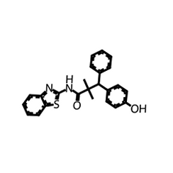 CC(C)(C(=O)Nc1nc2ccccc2s1)C(c1ccccc1)c1ccc(O)cc1